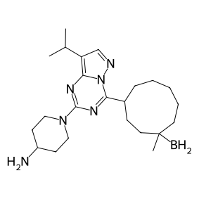 BC1(C)CCCCCC(c2nc(N3CCC(N)CC3)nc3c(C(C)C)cnn23)CC1